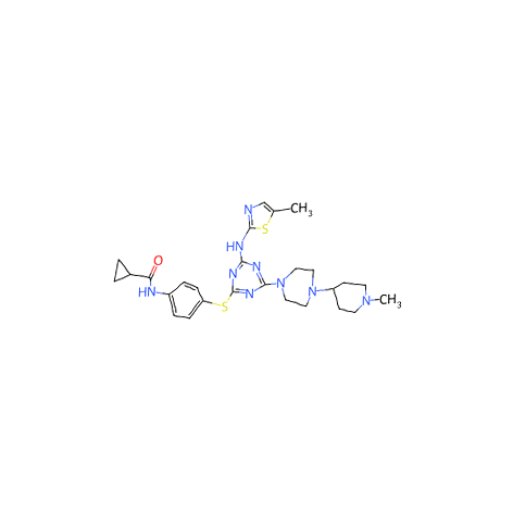 Cc1cnc(Nc2nc(Sc3ccc(NC(=O)C4CC4)cc3)nc(N3CCN(C4CCN(C)CC4)CC3)n2)s1